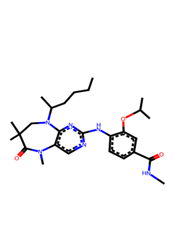 CCCCC(C)N1CC(C)(C)C(=O)N(C)c2cnc(Nc3ccc(C(=O)NC)cc3OC(C)C)nc21